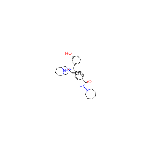 C=CCN1C2CCCC1CN(C(c1ccc(C(=O)NN3CCCCCC3)cc1)c1cccc(O)c1)C2